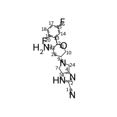 N#Cc1nc2c([nH]1)CN([C@H]1CO[C@H](c3cc(F)ccc3F)[C@@H](N)C1)C2